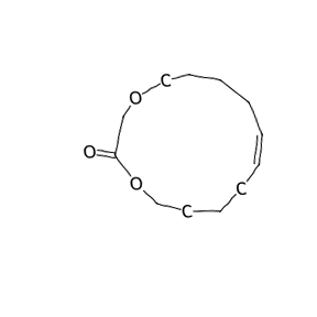 O=C1COCCCC/C=C\CCCCO1